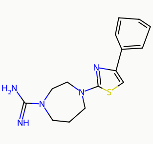 N=C(N)N1CCCN(c2nc(-c3ccccc3)cs2)CC1